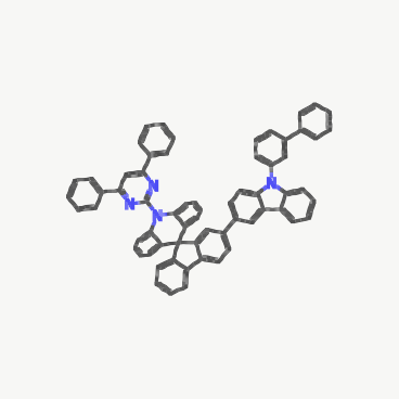 c1ccc(-c2cccc(-n3c4ccccc4c4cc(-c5ccc6c(c5)C5(c7ccccc7-6)c6ccccc6N(c6nc(-c7ccccc7)cc(-c7ccccc7)n6)c6ccccc65)ccc43)c2)cc1